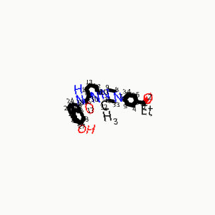 CCC(=O)c1ccc(N2CCN(c3cccc(C(=O)NC4C5CC6CC4CC(O)(C6)C5)n3)C(C)C2)cc1